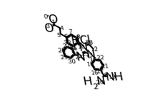 COC(=O)CCc1ccc(N2CCN(c3ccc(C(=N)N)cc3)/C2=N/c2ccccc2)cc1.Cl